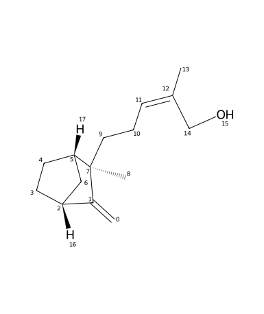 C=C1[C@@H]2CC[C@@H](C2)[C@@]1(C)CC/C=C(/C)CO